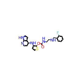 O=C(NCCNCc1ccccc1F)Oc1sccc1Nc1ccnc2[nH]ccc12